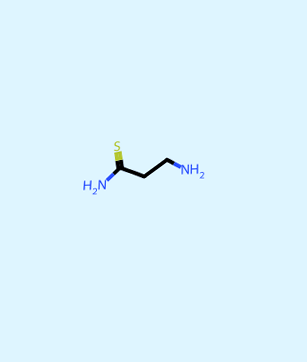 NCCC(N)=S